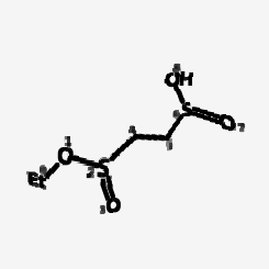 CCOS(=O)CCS(=O)O